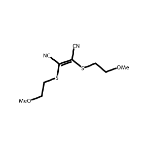 COCCS/C(C#N)=C(/C#N)SCCOC